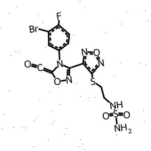 NS(=O)(=O)NCCSc1nonc1C1=NOC(=C=O)N1c1ccc(F)c(Br)c1